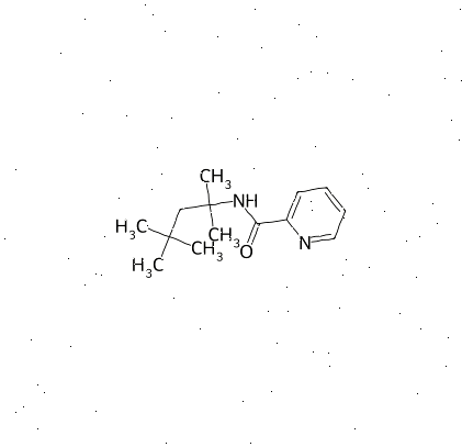 CC(C)(C)CC(C)(C)NC(=O)c1ccccn1